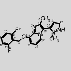 Cc1nc2c(OCc3c(F)cccc3F)cccn2c1C1=CCNN1C